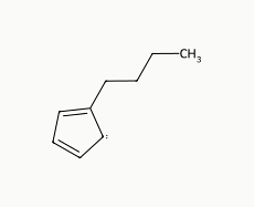 CCCCC1=CC=C[C]1